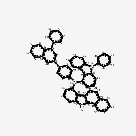 c1ccc(-c2cc(-c3ccc(N(c4cccc5oc6c7ccccc7ccc6c45)c4cccc5c4c4ccccc4n5-c4ccccc4)cc3)cc3ccccc23)cc1